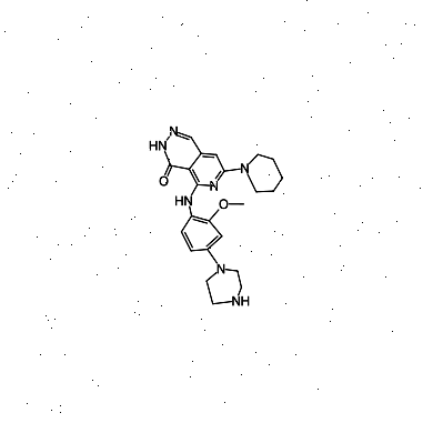 COc1cc(N2CCNCC2)ccc1Nc1nc(N2CCCCC2)cc2cn[nH]c(=O)c12